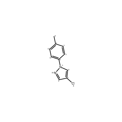 Cc1ccc(-n2cc(Cl)cn2)cc1